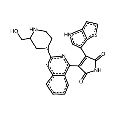 O=C1NC(=O)C(c2c[nH]c3ccsc23)=C1c1nc(N2CCNC(CO)C2)nc2ccccc12